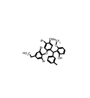 COc1cc(C(c2cccc(C)c2)c2c(O)cccc2OC(F)(F)F)c(Oc2c(Br)cc(CC(=O)O)cc2Br)cc1C(C)C